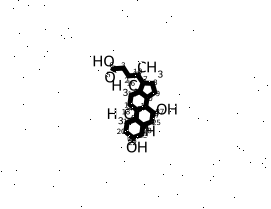 C[C@@H](CCC(=O)O)C1CCC2C3C(CC[C@@]21C)[C@@]1(C)CC[C@@H](O)C[C@H]1C[C@H]3O